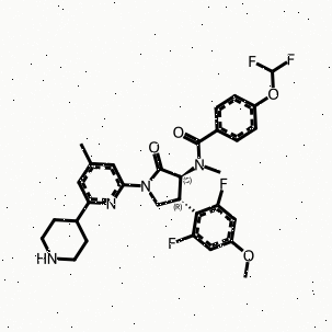 COc1cc(F)c([C@@H]2CN(c3cc(C)cc(C4CCNCC4)n3)C(=O)[C@H]2N(C)C(=O)c2ccc(OC(F)F)cc2)c(F)c1